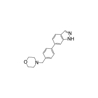 c1cc(-c2ccc3cn[nH]c3c2)ccc1CN1CCOCC1